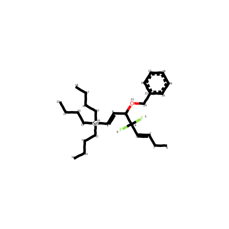 CCC=CC(F)(F)C(C=[CH][Sn]([CH2]CCC)([CH2]CCC)[CH2]CCC)OCc1ccccc1